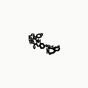 CSC1=C(NC(Cc2ccc(Nc3nccc4ccncc34)cc2)C(=O)O)C2(CCOCC2)C1=O